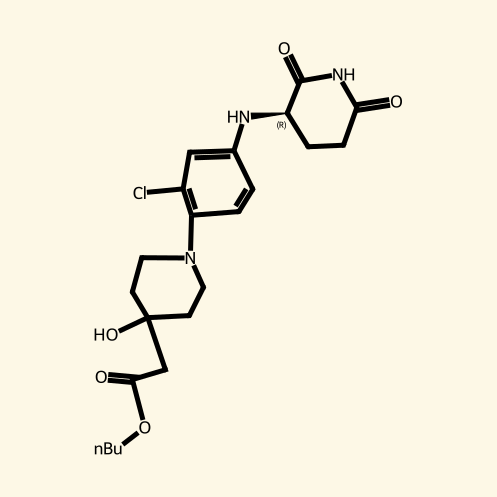 CCCCOC(=O)CC1(O)CCN(c2ccc(N[C@@H]3CCC(=O)NC3=O)cc2Cl)CC1